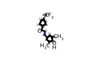 Cc1cc(/C=C/C(=O)c2ccc(SC(F)(F)F)cc2)cc(C)c1O